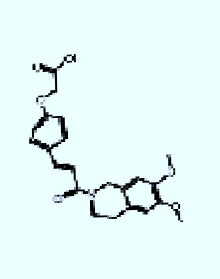 COc1cc2c(cc1OC)CN(C(=O)C=Cc1ccc(OCC(=O)O)cc1)CC2